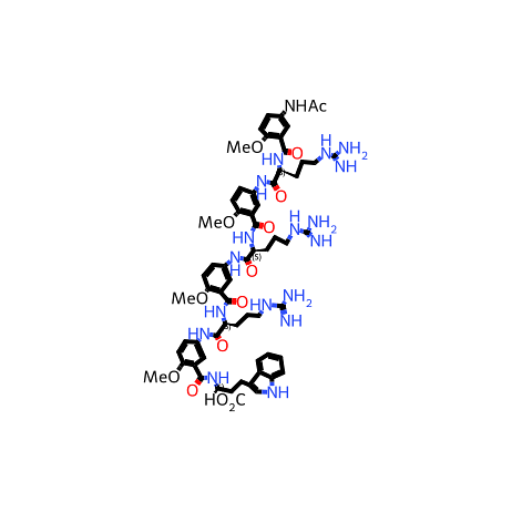 COc1ccc(NC(=O)[C@H](CCCNC(=N)N)NC(=O)c2cc(NC(=O)[C@H](CCCNC(=N)N)NC(=O)c3cc(NC(=O)[C@H](CCCNC(=N)N)NC(=O)c4cc(NC(C)=O)ccc4OC)ccc3OC)ccc2OC)cc1C(=O)N[C@@H](CCc1c[nH]c2ccccc12)C(=O)O